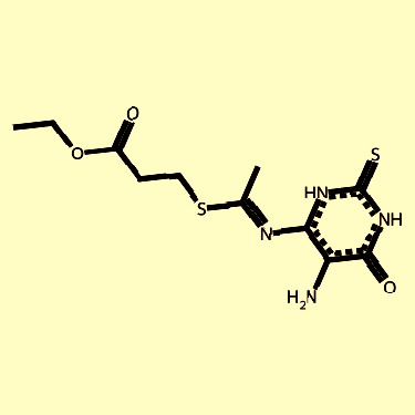 CCOC(=O)CCS/C(C)=N/c1[nH]c(=S)[nH]c(=O)c1N